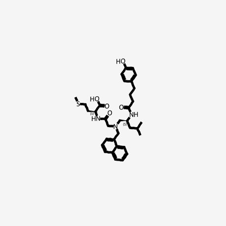 CSCC[C@H](NC(=O)CN(Cc1cccc2ccccc12)C[C@H](CC(C)C)NC(=O)CCCc1ccc(O)cc1)C(=O)O